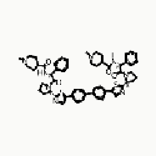 CN1CCC(C(=O)N[C@@H](C(=O)N2CCC[C@H]2c2ncc(-c3ccc(-c4ccc(-c5cnc([C@@H]6CCCN6C(=O)[C@H](NC(=O)C6CCN(C)CC6)c6ccccc6)s5)cc4)cc3)s2)c2ccccc2)CC1